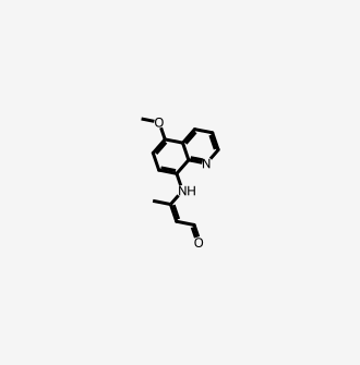 COc1ccc(N/C(C)=C\C=O)c2ncccc12